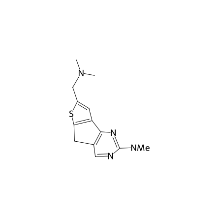 CNc1ncc2c(n1)-c1cc(CN(C)C)sc1C2